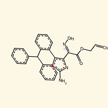 C=CCOC(=O)/C(=N\O)c1nc(N)sc1-c1ccccc1C(c1ccccc1)c1ccccc1